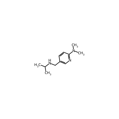 CC(C)NCc1ccc(N(C)C)nc1